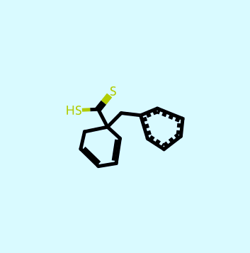 S=C(S)C1(Cc2ccccc2)C=CC=CC1